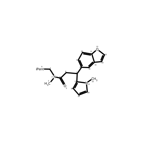 CCCC(C)CN(C)C(=O)CC(c1ccc2occc2c1)c1cccn1C